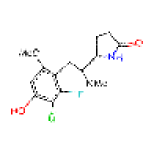 CNC(Cc1c(OC)cc(O)c(Cl)c1F)C1CCC(=O)N1